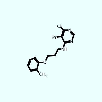 Cc1ccccc1OCCCNc1ncnc(Cl)c1C(C)C